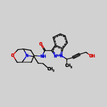 CCCCN1C2COCC1CC(NC(=O)c1nn(C(C)C#CCO)c3ccccc13)C2